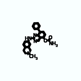 CN1CCc2ccc(Nc3ncc4c(OC(N)=O)ccc(-c5ccccc5)c4n3)cc2C1